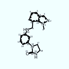 Cn1ncc2cccc(CNc3cccc(N4CCNC4=O)c3)c21